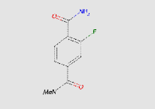 CNC(=O)c1ccc(C(N)=O)c(F)c1